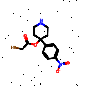 O=C(CS)OC1(c2ccc([N+](=O)[O-])cc2)CCNCC1